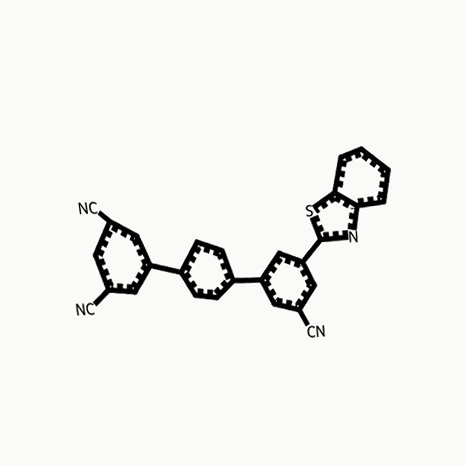 N#Cc1cc(C#N)cc(-c2ccc(-c3cc(C#N)cc(-c4nc5ccccc5s4)c3)cc2)c1